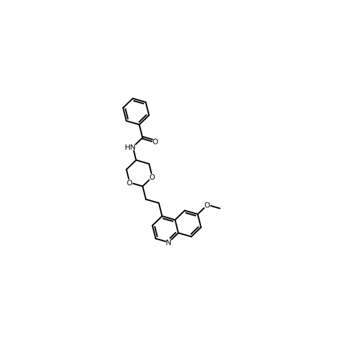 COc1ccc2nccc(CCC3OCC(NC(=O)c4ccccc4)CO3)c2c1